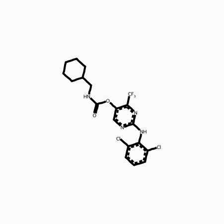 O=C(NCC1CCCCC1)Oc1cnc(Nc2c(Cl)cccc2Cl)nc1C(F)(F)F